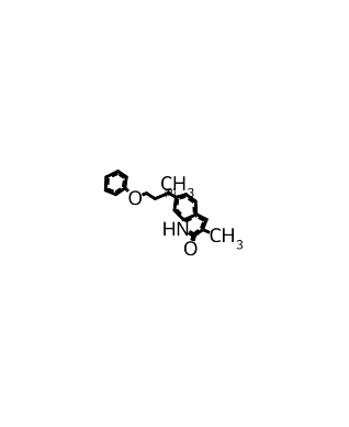 Cc1cc2ccc([C@H](C)CCOc3ccccc3)cc2[nH]c1=O